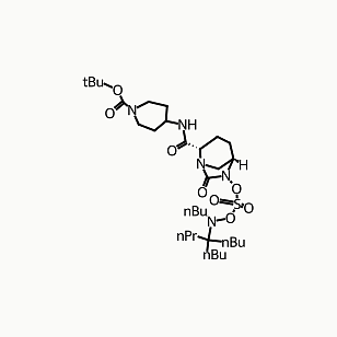 CCCCN(OS(=O)(=O)ON1C(=O)N2C[C@@H]1CC[C@H]2C(=O)NC1CCN(C(=O)OC(C)(C)C)CC1)C(CCC)(CCCC)CCCC